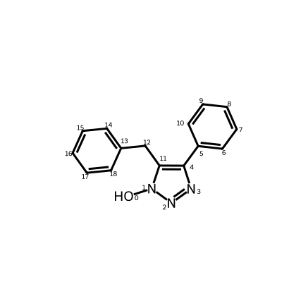 On1nnc(-c2ccccc2)c1Cc1ccccc1